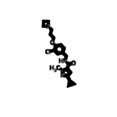 Cn1nc(C2CC2)cc1C(=O)NCc1ccc(OCCCN2CCC2)c(Cl)c1